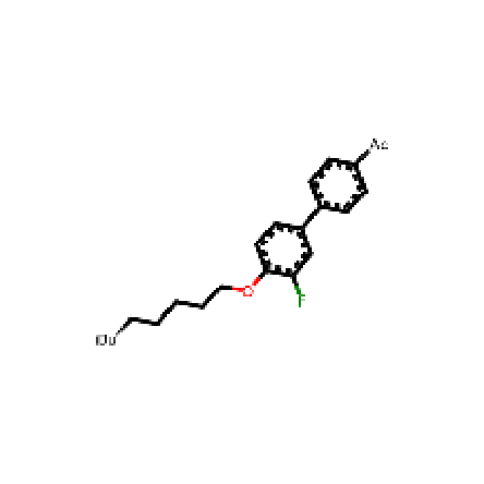 CC[C@H](C)CCCCCOc1ccc(-c2ccc(C(C)=O)cc2)cc1F